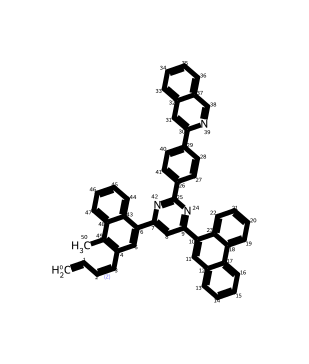 C=C/C=C\c1cc(-c2cc(-c3cc4ccccc4c4ccccc34)nc(-c3ccc(-c4cc5ccccc5cn4)cc3)n2)c2ccccc2c1C